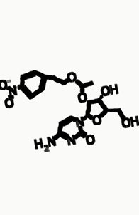 CC(OCCc1ccc([N+](=O)[O-])cc1)O[C@@H]1[C@H](O)[C@@H](CO)O[C@H]1n1ccc(N)nc1=O